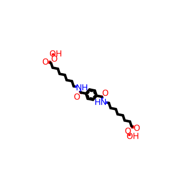 O=C(CCCCCCCNC(=O)c1ccc(C(=O)NCCCCCCCC(=O)OO)cc1)OO